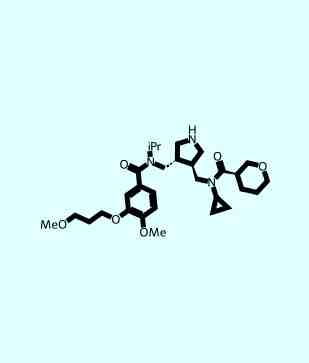 COCCCOc1cc(C(=O)N(C[C@@H]2CNC[C@H]2CN(C(=O)[C@@H]2CCCOC2)C2CC2)C(C)C)ccc1OC